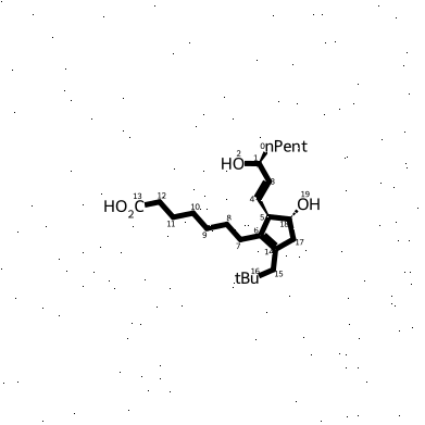 CCCCC[C@H](O)C=C[C@@H]1C(CCCCCCC(=O)O)=C(CC(C)(C)C)C[C@H]1O